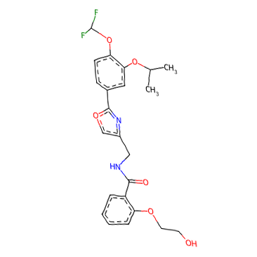 CC(C)Oc1cc(-c2nc(CNC(=O)c3ccccc3OCCO)co2)ccc1OC(F)F